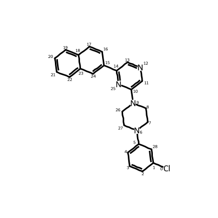 Clc1cccc(N2CCN(c3cncc(-c4ccc5ccccc5c4)n3)CC2)c1